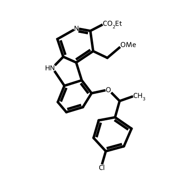 CCOC(=O)c1ncc2[nH]c3cccc(OC(C)c4ccc(Cl)cc4)c3c2c1COC